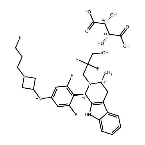 C[C@@H]1Cc2c([nH]c3ccccc23)[C@@H](c2c(F)cc(NC3CN(CCCF)C3)cc2F)N1CC(F)(F)CO.O=C(O)[C@H](O)[C@@H](O)C(=O)O